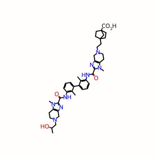 Cc1c(NC(=O)c2nc3c(n2C)CCN(CCC24CCC(C(=O)O)(CC2)C4)C3)cccc1-c1cccc(NC(=O)c2nc3c(n2C)CCN(CC(C)O)C3)c1C